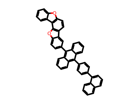 c1ccc2c(-c3ccc(-c4c5ccccc5c(-c5ccc6oc7c(ccc8oc9ccccc9c87)c6c5)c5ccccc45)cc3)cccc2c1